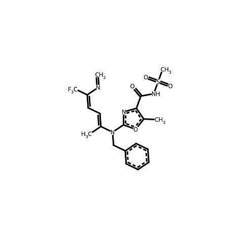 C=N/C(=C\C=C(/C)N(Cc1ccccc1)c1nc(C(=O)NS(C)(=O)=O)c(C)o1)C(F)(F)F